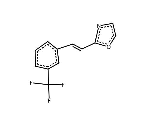 FC(F)(F)c1cccc(C=Cc2ncco2)c1